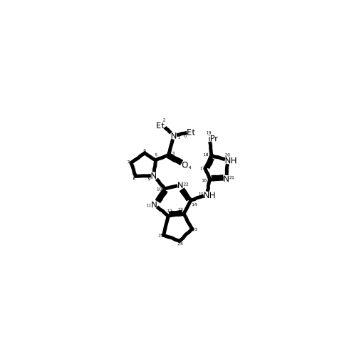 CCN(CC)C(=O)C1CCCN1c1nc2c(c(Nc3cc(C(C)C)[nH]n3)n1)CCC2